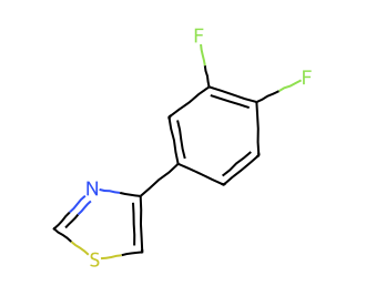 Fc1ccc(-c2cscn2)cc1F